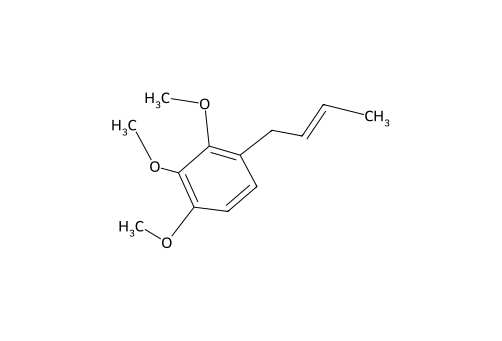 CC=CCc1ccc(OC)c(OC)c1OC